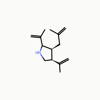 C=C(C)C[C@@H]1C(C(=C)C)NC[C@@H]1C(=C)C